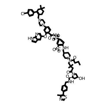 CCCC(=O)N(CC(C)(C)CC(=O)N1C[C@H](O)C[C@H]1C(=O)NCc1ccc(-c2scnc2C)cc1)N1CCC(CNc2ccc(S(=O)(=O)NC(=O)c3ccc(N4CCN(CC5=C(c6ccc(Cl)cc6)CC(C)(C)CC5)CC4)cc3Oc3cnc4[nH]ccc4c3)cc2[N+](=O)[O-])CC1